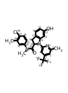 Cc1cc(C(F)(F)F)cc(N2c3cc(O)ccc3CC2C(=O)N(C)c2ccc(Cl)c(C)c2)n1